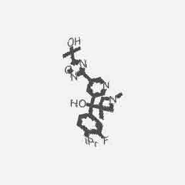 CC(C)c1ccc(C(O)(c2cncc(-c3noc(C(C)(C)O)n3)c2)C2(C)CN(C)C2)cc1F